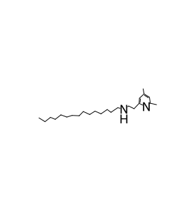 CCCCCCCCCCCCCCCNCCc1cc(C)cc(C)n1